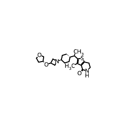 Cc1c([C@H](C)[C@H]2CC[C@H](N3CC(O[C@@H]4CCOC4)C3)CC2)sc2c1C(=O)NCC2